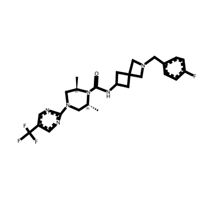 C[C@@H]1CN(c2ncc(C(F)(F)F)cn2)C[C@@H](C)N1C(=O)NC1CC2(C1)CN(Cc1ccc(F)cc1)C2